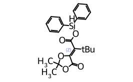 CC1(C)OC(=O)/C(=C(/C(=O)O[SiH](c2ccccc2)c2ccccc2)C(C)(C)C)O1